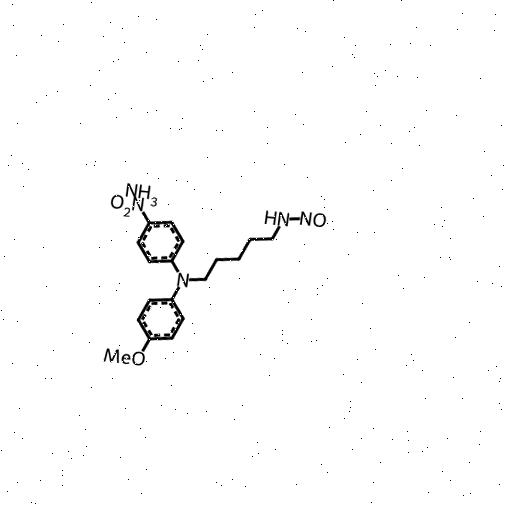 COc1ccc(N(CCCCCNN=O)c2ccc([N+](=O)[O-])cc2)cc1.N